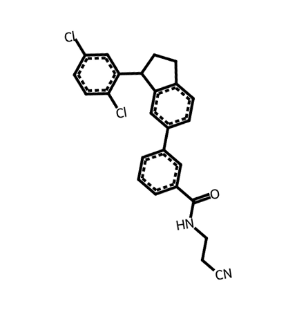 N#CCCNC(=O)c1cccc(-c2ccc3c(c2)C(c2cc(Cl)ccc2Cl)CC3)c1